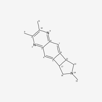 Cc1nc2cc3c(cc2nc1C)C1CN(C)CC31